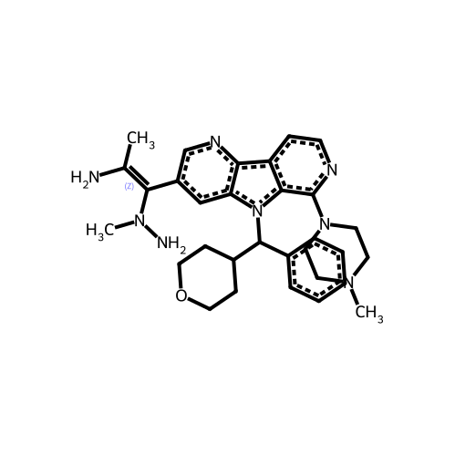 C/C(N)=C(\c1cnc2c3ccnc(N4CCN(C)CC4)c3n(C(c3ccccc3)C3CCOCC3)c2c1)N(C)N